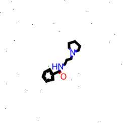 O=C(NCCCN1CCCCC1)c1ccccc1